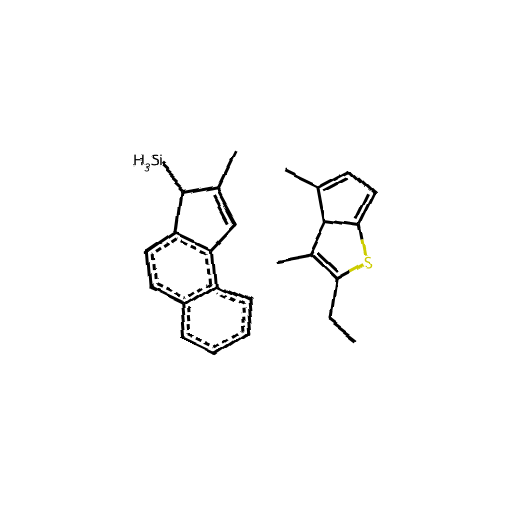 CC1=Cc2c(ccc3ccccc23)C1[SiH3].CCC1=C(C)C2C(C)=CC=C2S1